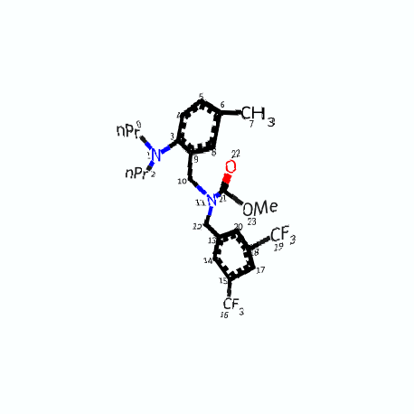 CCCN(CCC)c1ccc(C)cc1CN(Cc1cc(C(F)(F)F)cc(C(F)(F)F)c1)C(=O)OC